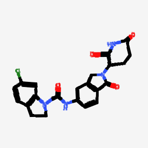 O=C1CCC(N2Cc3cc(NC(=O)N4CCc5ccc(Cl)cc54)ccc3C2=O)C(=O)N1